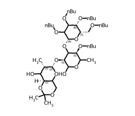 CCCCOC[C@@H]1O[C@H](OC2[C@H](O[C@@H]3OC4COC(C)(C)O[C@H]4C(O)[C@@H]3C)C(O)OC(C)[C@@H]2OCCCC)C(OCCCC)C(OCCCC)[C@@H]1OCCCC